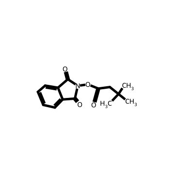 CC(C)(C)CC(=O)ON1C(=O)c2ccccc2C1=O